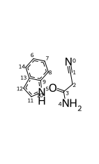 N#CCC(N)=O.c1ccc2[nH]ccc2c1